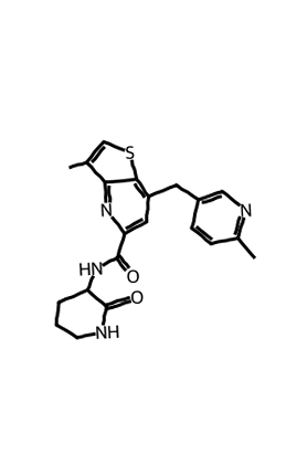 Cc1ccc(Cc2cc(C(=O)NC3CCCNC3=O)nc3c(C)csc23)cn1